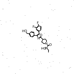 CCN(O)C(=O)N1CCC(c2nc(-c3ccc(CO)cc3)c(-c3ccc(F)c(F)c3)o2)CC1